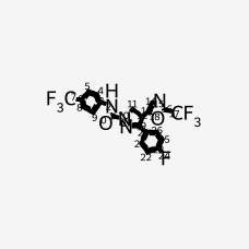 O=C(Nc1ccc(C(F)(F)F)cc1)N1CC(c2cnc(C(F)(F)F)o2)C(c2ccc(F)cc2)=N1